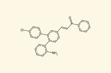 Nc1ccccc1-c1ccc(C=CC(=O)c2ccccc2)cc1-c1ccc(Cl)cc1